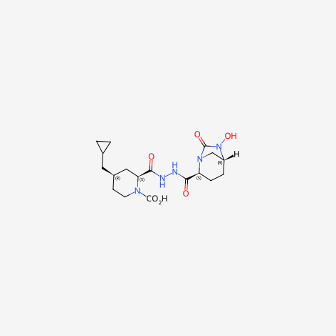 O=C(NNC(=O)[C@@H]1CC[C@@H]2CN1C(=O)N2O)[C@@H]1C[C@H](CC2CC2)CCN1C(=O)O